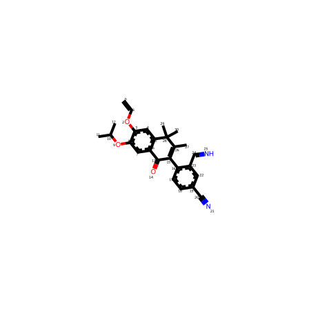 C=COc1cc2c(cc1OC(C)C)C(=O)C(c1ccc(C#N)cc1C=N)=C(C)C2(C)C